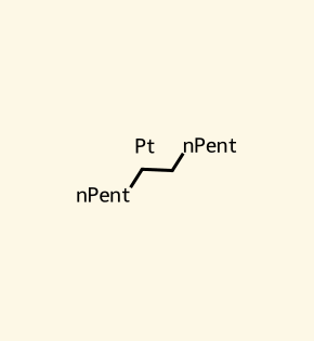 [CH2]CCCCCCCCCCC.[Pt]